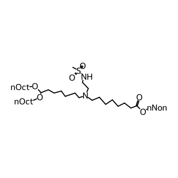 CCCCCCCCCOC(=O)CCCCCCCN(CCCCCCC(OCCCCCCCC)OCCCCCCCC)CCNS(C)(=O)=O